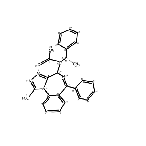 Cc1nnc2n1-c1ccccc1C(c1ccccc1)=NC2N(C(=O)O)[C@@H](C)c1ccccc1